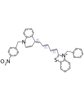 O=[N+]([O-])c1ccc(CN2C=C\C(=C/C=C/C=C/c3sc4ccccc4[n+]3Cc3ccccc3)c3ccccc32)cc1